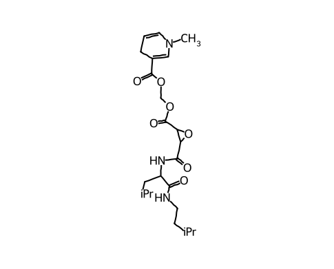 CC(C)CCNC(=O)C(CC(C)C)NC(=O)C1OC1C(=O)OCOC(=O)C1=CN(C)C=CC1